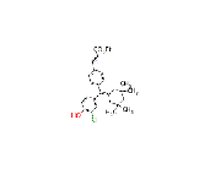 CCOC(=O)/C=C/c1ccc(C(=C2CC(C)(C)CC(C)(C)C2)c2ccc(O)c(Cl)c2)cc1